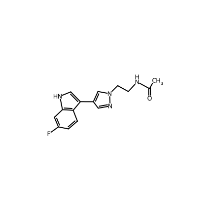 CC(=O)NCCn1cc(-c2c[nH]c3cc(F)ccc23)cn1